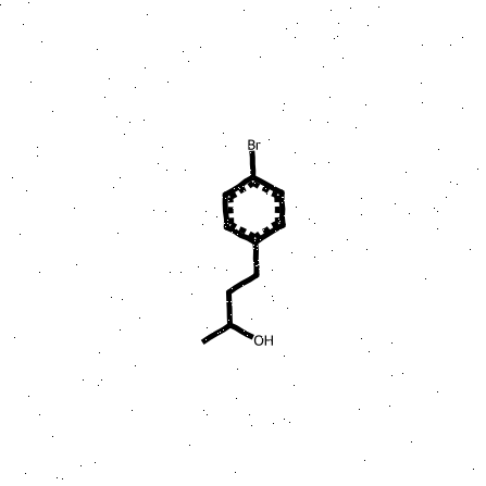 CC(O)CCc1ccc(Br)cc1